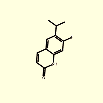 CC(C)c1cc2ccc(=O)[nH]c2cc1F